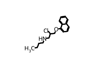 CCCCNCC(Cl)COc1cccc2ccccc12